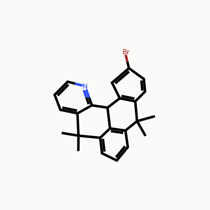 CC1(C)c2ccc(Br)cc2C2c3ncccc3C(C)(C)c3cccc1c32